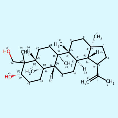 C=C(C)[C@@H]1CC[C@]2(C)CC[C@]3(C)[C@H](CC[C@@H]4[C@@]5(C)CC[C@H](O)C(C)(CO)[C@@H]5CC[C@]43C)[C@@H]12